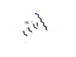 CCCCCCCC/C=C\CCCCCCCC(=O)O.CCCCCCCCCCCCO.OCC(O)CO.OCC(O)CO.OCC(O)CO